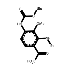 CCNc1c(C(=O)C(=O)O)ccc(NC(=O)OC(C)(C)C)c1OC